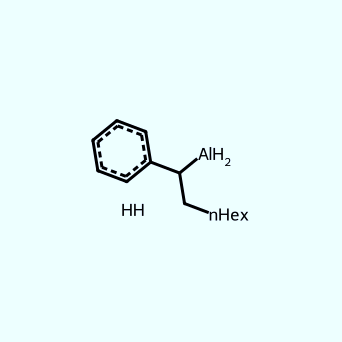 CCCCCCC[CH]([AlH2])c1ccccc1.[HH]